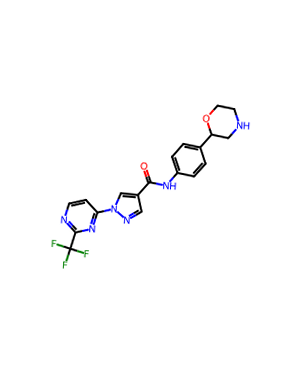 O=C(Nc1ccc(C2CNCCO2)cc1)c1cnn(-c2ccnc(C(F)(F)F)n2)c1